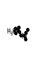 CC1(C)c2ccccc2-c2c(n(-c3ccccc3)c3ccc(-c4cccc(-c5nc(-c6ccccc6)nc(-c6ccc(-c7ccccc7)cc6)n5)c4)cc23)-c2ccccc21